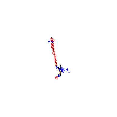 CCCCc1nc2c(N)nc3cc(C4CCN(CCOC)CC4)sc3c2n1CC1CCN(CCOCCOCCOCCOCCOCCOCCOCCOCCNC(=O)OC(C)(C)C)CC1